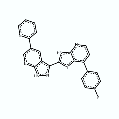 Fc1ccc(-c2ccnc3[nH]c(-c4n[nH]c5ncc(-c6ccccn6)cc45)nc23)cc1